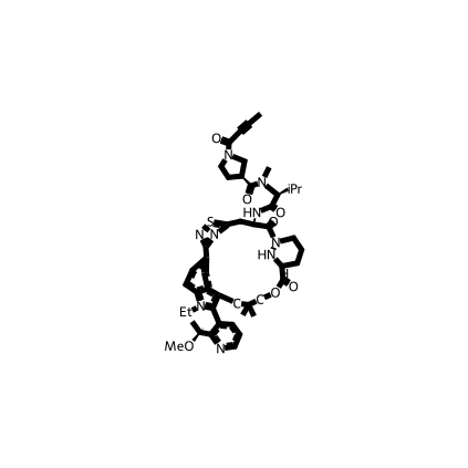 CC#CC(=O)N1CC[C@H](C(=O)N(C)[C@H](C(=O)N[C@H]2Cc3nc(ns3)-c3ccc4c(c3)c(c(-c3cccnc3[C@H](C)OC)n4CC)CC(C)(C)COC(=O)[C@@H]3CCCN(N3)C2=O)C(C)C)C1